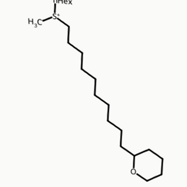 CCCCCC[S+](C)CCCCCCCCCCC1CCCCO1